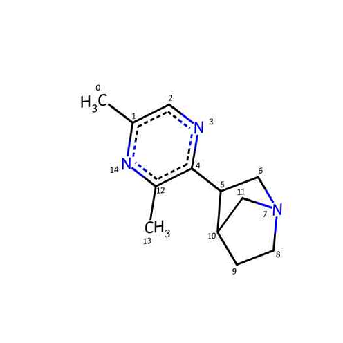 Cc1cnc(C2CN3CCC2C3)c(C)n1